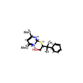 CCC(C)(c1ccccc1)C(CO)Sc1nc(OC)cc(OC)n1